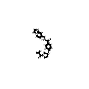 CC(C)C(=O)N1CC[C@@H](Oc2ccc(C(=O)NCc3ccn4ccnc4c3)cc2)C1